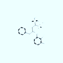 O=P(O)(O)C(CC(Cc1ccccc1)Oc1cccc(Cl)c1Cl)S(=O)(=O)O